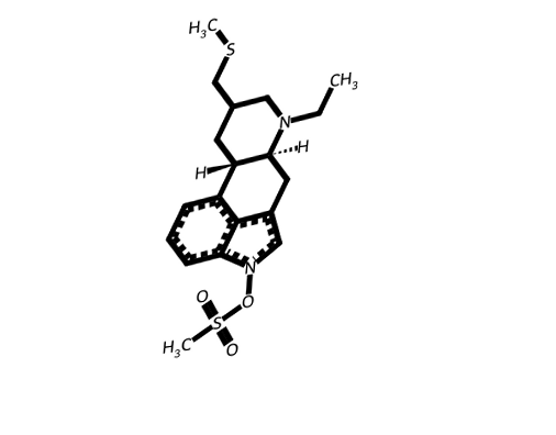 CCN1CC(CSC)C[C@H]2c3cccc4c3c(cn4OS(C)(=O)=O)C[C@@H]21